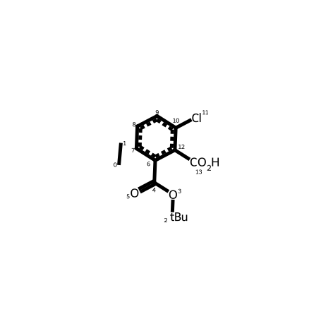 CC.CC(C)(C)OC(=O)c1cccc(Cl)c1C(=O)O